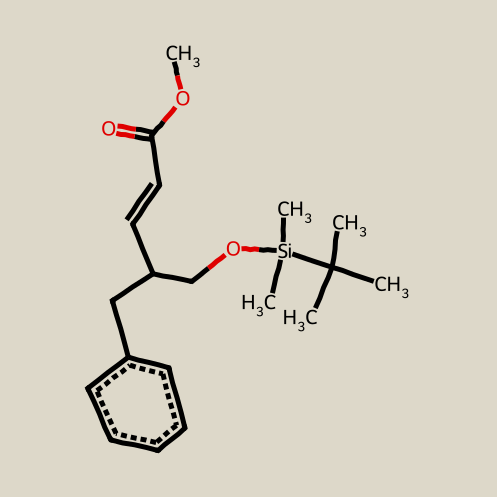 COC(=O)C=CC(CO[Si](C)(C)C(C)(C)C)Cc1ccccc1